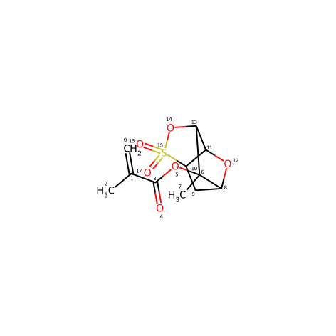 C=C(C)C(=O)OC1(C)C2CC3C(O2)C1OS3(=O)=O